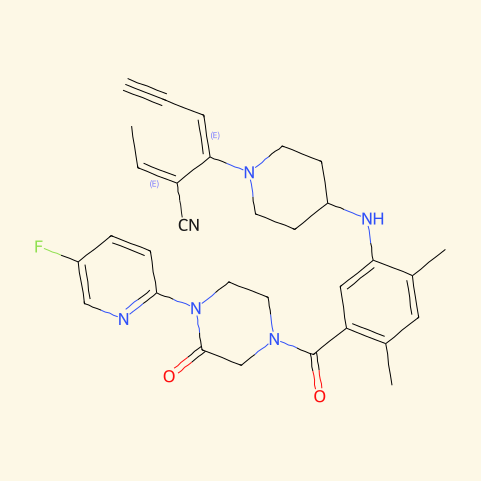 C#C/C=C(\C(C#N)=C/C)N1CCC(Nc2cc(C(=O)N3CCN(c4ccc(F)cn4)C(=O)C3)c(C)cc2C)CC1